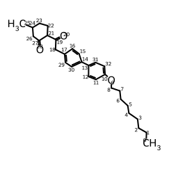 CCCCCCCCCOc1ccc(-c2ccc(CC(=O)C3CCC(C)CC3=O)cc2)cc1